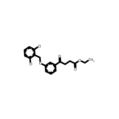 CCOC(=O)CCC(=O)c1cccc(OCc2c(Cl)cccc2Cl)c1